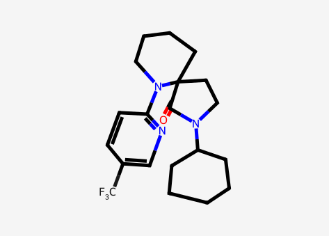 O=C1N(C2CCCCC2)CCC12CCCCN2c1ccc(C(F)(F)F)cn1